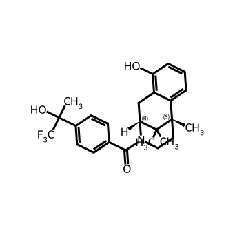 CC(O)(c1ccc(C(=O)N2CC[C@@]3(C)c4cccc(O)c4C[C@@H]2C3(C)C)cc1)C(F)(F)F